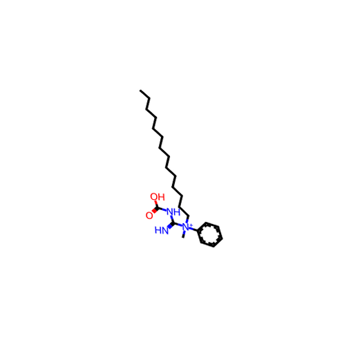 CCCCCCCCCCCCCC[N+](C)(C(=N)NC(=O)O)c1ccccc1